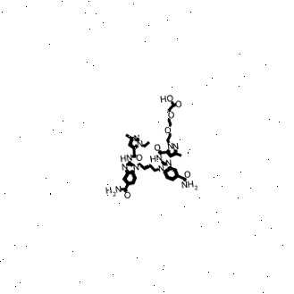 CCn1nc(C)cc1C(=O)Nc1nc2cc(C(N)=O)ccc2n1C/C=C/Cn1c(NC(=O)c2cc(C)nn2CCOCCOCC(=O)O)nc2cc(C(N)=O)ccc21